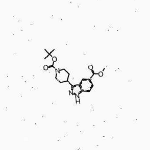 COC(=O)c1ccc2[nH]nc(C3CCN(C(=O)OC(C)(C)C)CC3)c2c1